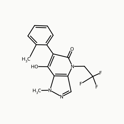 Cc1ccccc1-c1c(O)c2c(cnn2C)n(CC(F)(F)F)c1=O